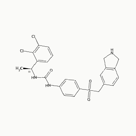 C[C@H](NC(=O)Nc1ccc(S(=O)(=O)Cc2ccc3c(c2)CNC3)cc1)c1cccc(Cl)c1Cl